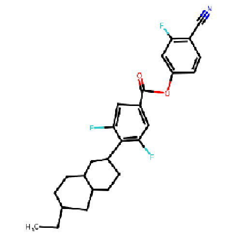 CCC1CCC2CC(c3c(F)cc(C(=O)Oc4ccc(C#N)c(F)c4)cc3F)CCC2C1